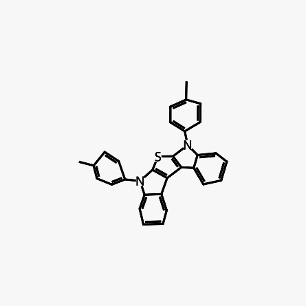 Cc1ccc(-n2c3ccccc3c3c4c5ccccc5n(-c5ccc(C)cc5)c4sc32)cc1